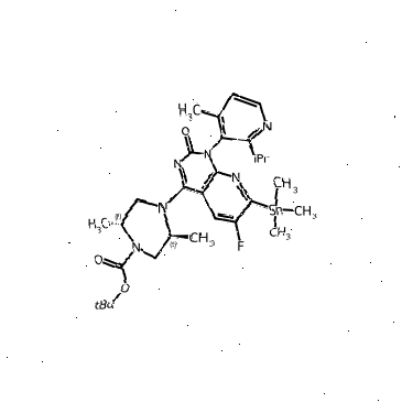 Cc1ccnc(C(C)C)c1-n1c(=O)nc(N2C[C@@H](C)N(C(=O)OC(C)(C)C)C[C@@H]2C)c2cc(F)[c]([Sn]([CH3])([CH3])[CH3])nc21